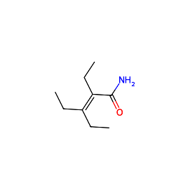 CCC(CC)=C(CC)C(N)=O